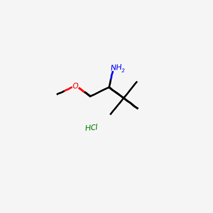 COCC(N)C(C)(C)C.Cl